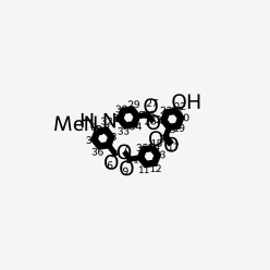 CNc1ccc(C(=O)OC(=O)c2cccc(OC(=O)c3ccc(O)cc3OC(=O)c3ccc(N)cc3)c2)cc1